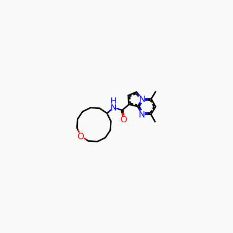 Cc1cc(C)n2ccc(C(=O)NC3CCCCCOCCCCC3)c2n1